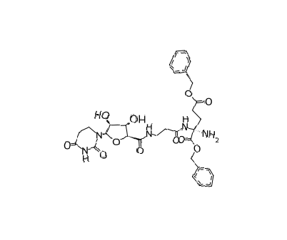 N[C@@](CCC(=O)OCc1ccccc1)(NC(=O)CCNC(=O)[C@H]1O[C@@H](N2CCC(=O)NC2=O)[C@@H](O)[C@H]1O)C(=O)OCc1ccccc1